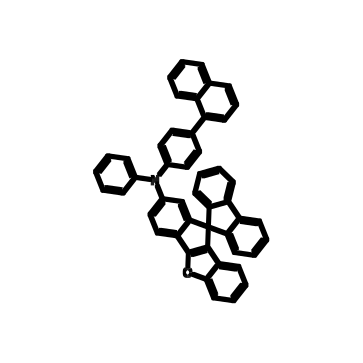 c1ccc(N(c2ccc(-c3cccc4ccccc34)cc2)c2ccc3c(c2)C2(c4ccccc4-c4ccccc42)c2c-3oc3ccccc23)cc1